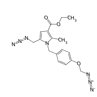 CCOC(=O)c1cc(CN=[N+]=[N-])n(Cc2ccc(OCN=[N+]=[N-])cc2)c1C